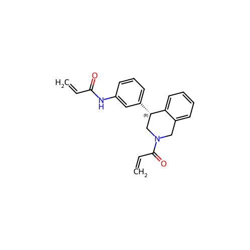 C=CC(=O)Nc1cccc([C@H]2CN(C(=O)C=C)Cc3ccccc32)c1